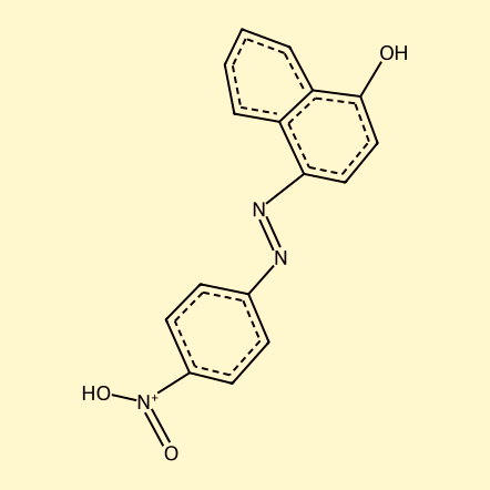 O=[N+](O)c1ccc(N=Nc2ccc(O)c3ccccc23)cc1